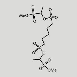 COS(=O)(=O)C(C)OS(=O)(=O)CCCCCS(=O)(=O)OC(C)S(=O)(=O)OC